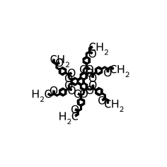 C=CC(=O)Cc1ccc(C(=O)Oc2cc3c4cc(OC(=O)c5ccc(CC(=O)C=C)cc5)c(OC(=O)c5ccc(CC(=O)C=C)cc5)cc4c4cc(OC(=O)c5ccc(CC(=O)C=C)cc5)c(OC(=O)c5ccc(CC(=O)C=C)cc5)cc4c3cc2OC(=O)c2ccc(CC(=O)C=C)cc2)cc1